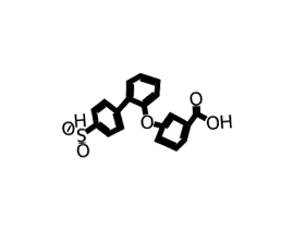 O=C(O)c1cccc(Oc2ccccc2-c2ccc([SH](=O)=O)cc2)c1